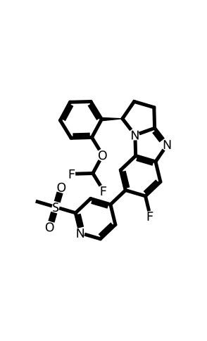 CS(=O)(=O)c1cc(-c2cc3c(cc2F)nc2n3[C@@H](c3ccccc3OC(F)F)CC2)ccn1